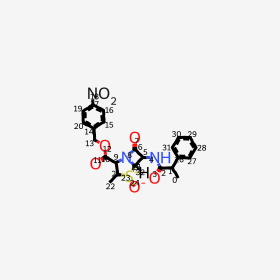 CC(C(=O)NC1C(=O)N2C(C(=O)OCc3ccc([N+](=O)[O-])cc3)C(C)[S+]([O-])[C@@H]12)c1ccccc1